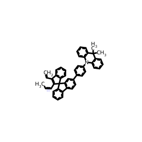 C=CC1=C(/C=C\C)C2(c3ccccc31)c1ccccc1-c1ccc(-c3ccc(N4c5ccccc5C(C)(C)c5ccccc54)cc3)cc12